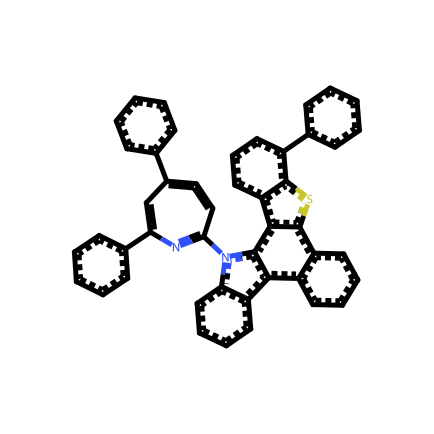 C1=CC(n2c3ccccc3c3c4ccccc4c4sc5c(-c6ccccc6)cccc5c4c32)=NC(c2ccccc2)=CC=1c1ccccc1